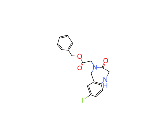 O=C(CN1Cc2cc(F)ccc2NCC1=O)OCc1ccccc1